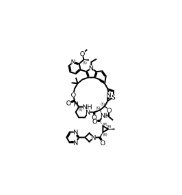 CCO[C@@H]1c2nc(cs2)-c2ccc3c(c2)c(c(-c2cccnc2[C@H](C)OC)n3CC)CC(C)(C)COC(=O)[C@@H]2CCCN(N2)C(=O)[C@H]1NC(=O)[C@@H]1[C@@H](C)[C@H]1C(=O)N1CC(c2ncccn2)C1